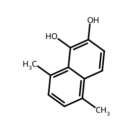 Cc1ccc(C)c2c(O)c(O)ccc12